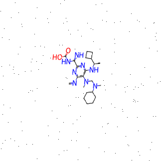 C=Nc1nc(C(=N)NC(=O)O)nc(N[C@H](C)C2CCC2)c1N(C)CN(C)C1CCCCC1